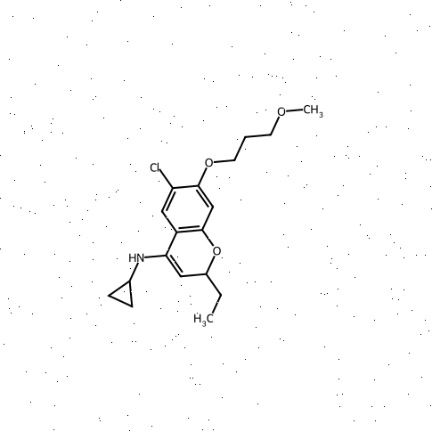 CCC1C=C(NC2CC2)c2cc(Cl)c(OCCCOC)cc2O1